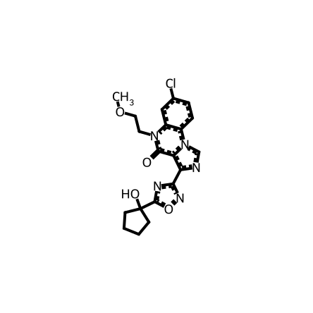 COCCn1c(=O)c2c(-c3noc(C4(O)CCCC4)n3)ncn2c2ccc(Cl)cc21